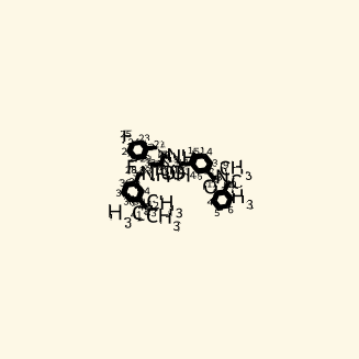 C[C@H](c1ccccc1)N(C)C(=O)c1cccc(C(=O)N[C@@H](Cc2cc(F)cc(F)c2)[C@H](O)CNCc2cccc(C(C)(C)C)c2)c1